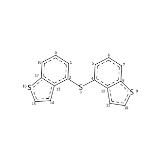 c1cc(Sc2cccc3sccc23)c2ccsc2c1